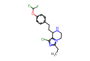 CCc1nc(Cl)c2n1CCNC2CCc1ccc(OC(F)F)cc1